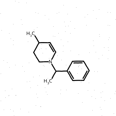 CC1C=CN(C(C)c2ccccc2)CC1